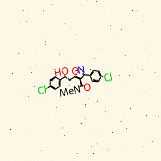 CNC(=O)c1c(-c2ccc(Cl)cc2)noc1CC(O)c1ccc(Cl)cc1